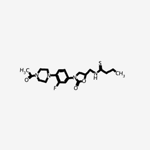 CCCC(=S)NCC1CN(c2ccc(N3CCN(C(C)=O)CC3)c(F)c2)C(=O)O1